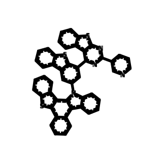 c1cncc(-c2nc(-c3cc(-n4c5ccccc5c5c6ccccc6c6sc7ccccc7c6c54)cc4c3sc3ccccc34)c3c(n2)sc2ccccc23)c1